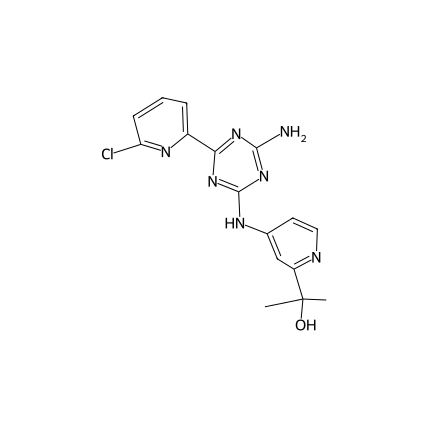 CC(C)(O)c1cc(Nc2nc(N)nc(-c3cccc(Cl)n3)n2)ccn1